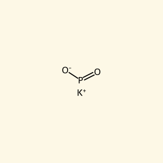 O=P[O-].[K+]